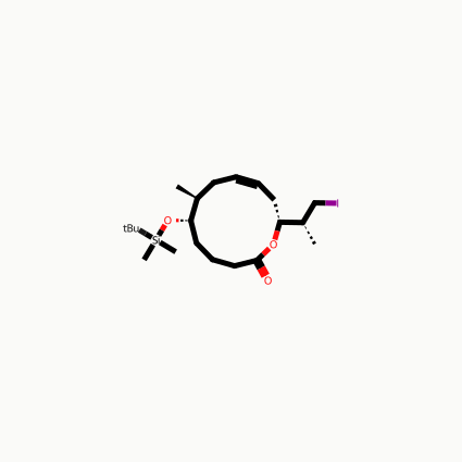 C[C@H]1CC=CC[C@H]([C@@H](C)CI)OC(=O)CCC[C@@H]1O[Si](C)(C)C(C)(C)C